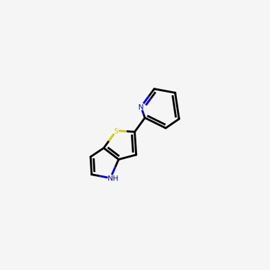 c1ccc(-c2cc3[nH]ccc3s2)nc1